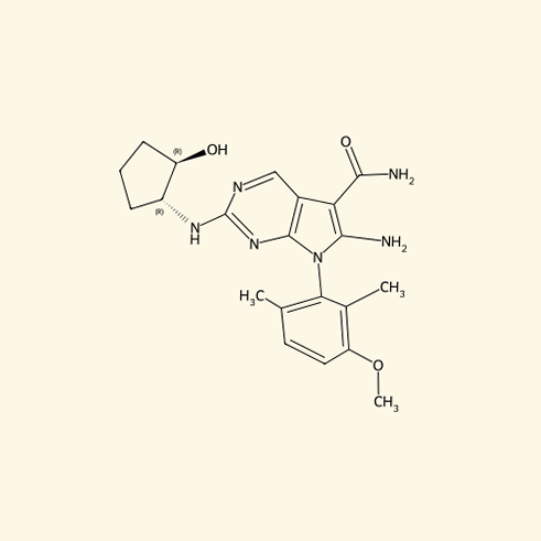 COc1ccc(C)c(-n2c(N)c(C(N)=O)c3cnc(N[C@@H]4CCC[C@H]4O)nc32)c1C